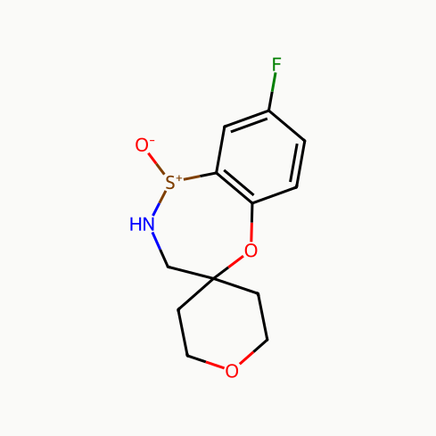 [O-][S+]1NCC2(CCOCC2)Oc2ccc(F)cc21